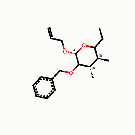 C=CCO[C@@H]1OC(CC)[C@@H](C)[C@H](C)C1OCc1ccccc1